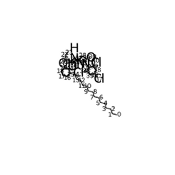 CCCCCCCCCCCCCCCc1cccc(OC(CC)C(=O)Nc2cc(=O)n(-c3c(Cl)cc(Cl)cc3Cl)[nH]2)c1